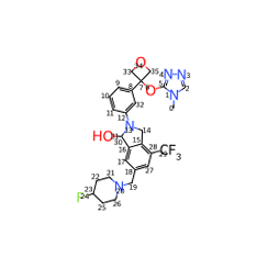 Cn1cnnc1OC1(c2cccc(N3Cc4c(cc(CN5CCC(F)CC5)cc4C(F)(F)F)C3O)c2)COC1